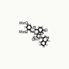 COc1ccc(CN2CC3(C(=O)N(c4cncc5ccccc45)C[C@@H]3CO)c3cc(Cl)ccc3C2=O)c(OC)c1